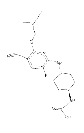 CC(C)COc1nc(N[C@H]2CC[C@H](NC(=O)O)CC2)c(F)cc1C#N